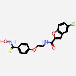 O=C(NCCOc1ccc(C(=S)NO)cc1)c1cc2cc(Cl)ccc2o1